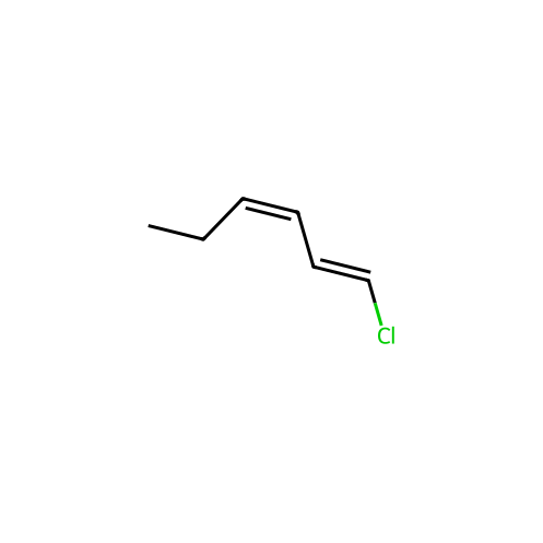 CC/C=C\C=C\Cl